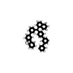 c1ccc(-c2cccc(-c3ccc(C(c4cccc(-c5ccc6oc7ccccc7c6c5)c4)c4cccc5ccccc45)cc3)c2)cc1